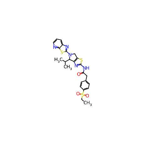 CCS(=O)(=O)c1ccc(CC(=O)Nc2nc3c(s2)CN(c2nc4cccnc4s2)C3C(C)C)cc1